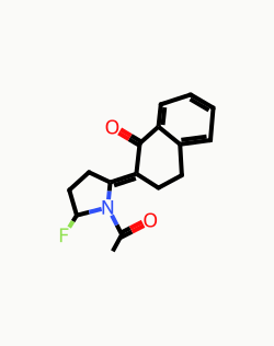 CC(=O)N1C(=C2CCc3ccccc3C2=O)CCC1F